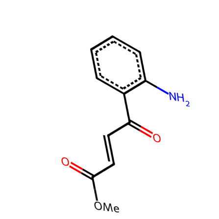 COC(=O)C=CC(=O)c1ccccc1N